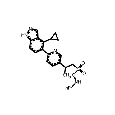 CCCNOS(=O)(=O)CC(C)c1ccc(-c2ccc3[nH]ncc3c2C2CC2)nc1